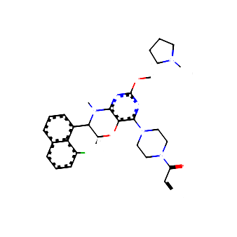 C=CC(=O)N1CCN(c2nc(OC[C@@H]3CCCN3C)nc3c2O[C@@H](C)C(c2cccc4cccc(Cl)c24)N3C)CC1